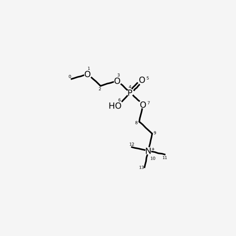 COCOP(=O)(O)OCC[N+](C)(C)C